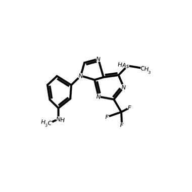 CNc1cccc(-n2cnc3c([AsH]C)nc(C(F)(F)F)nc32)c1